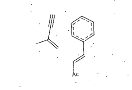 C#CC(=C)C.CC(=O)C=Cc1ccccc1